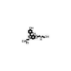 CCN(CC)CCn1nc2c3c(c(NCCNCCO)ccc31)[Se]c1cc(O)ccc1-2